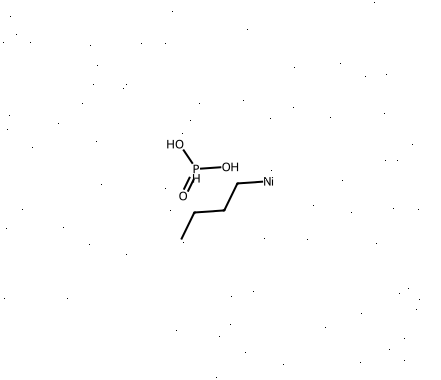 CCC[CH2][Ni].O=[PH](O)O